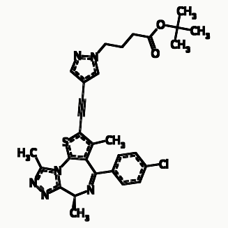 Cc1c(C#Cc2cnn(CCCC(=O)OC(C)(C)C)c2)sc2c1C(c1ccc(Cl)cc1)=N[C@@H](C)c1nnc(C)n1-2